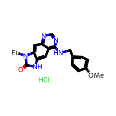 CCn1c(=O)[nH]c2cc3c(NCc4ccc(OC)cc4)ncnc3cc21.Cl